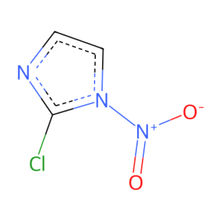 O=[N+]([O-])n1ccnc1Cl